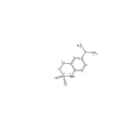 CC(C)c1ccc2c(c1)OCS(=O)(=O)N2